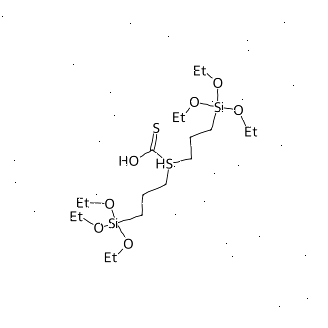 CCO[Si](CCC[SH](CCC[Si](OCC)(OCC)OCC)C(O)=S)(OCC)OCC